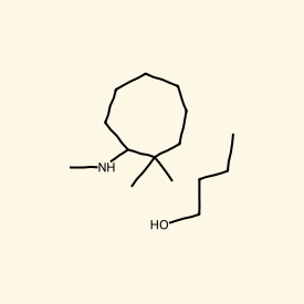 CCCCO.CNC1CCCCCCC1(C)C